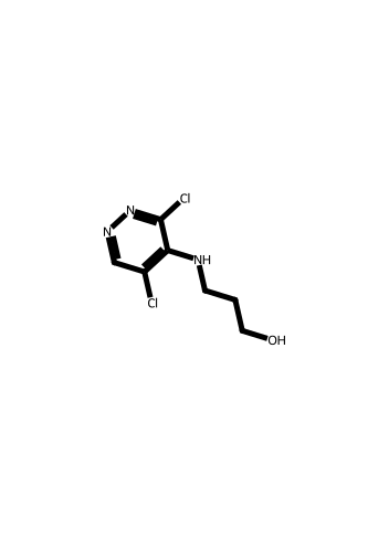 OCCCNc1c(Cl)cnnc1Cl